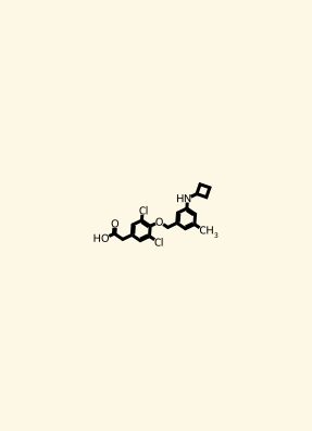 Cc1cc(COc2c(Cl)cc(CC(=O)O)cc2Cl)cc(NC2CCC2)c1